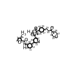 Cc1ccoc1C(=O)Nc1cccc(-c2cncc(C(=O)N=S(C)(=O)c3ccc(CCC(=O)N4CCOCC4)cc3)c2)c1